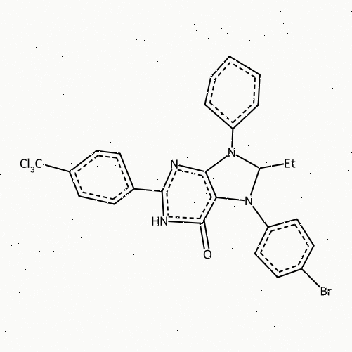 CCC1N(c2ccccc2)c2nc(-c3ccc(C(Cl)(Cl)Cl)cc3)[nH]c(=O)c2N1c1ccc(Br)cc1